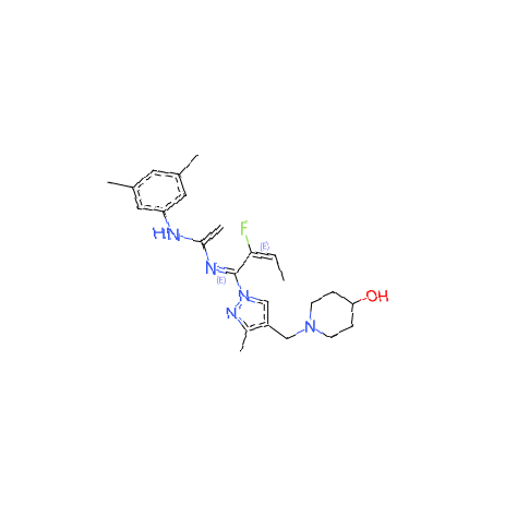 C=C(/N=C(\C(F)=C/C)n1cc(CN2CCC(O)CC2)c(C)n1)Nc1cc(C)cc(C)c1